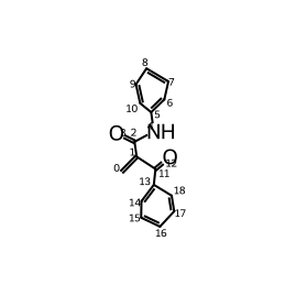 C=C(C(=O)Nc1ccccc1)C(=O)c1ccccc1